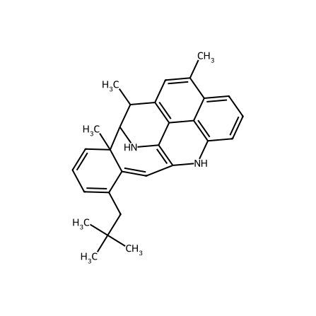 Cc1cc2c3c4c(cccc14)NC1=C3NC(C2C)C2(C)C=CC=C(CC(C)(C)C)C2=C1